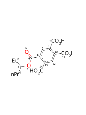 CCCC(CC)OC(=O)c1cc(C(=O)O)c(C(=O)O)cc1C(=O)O